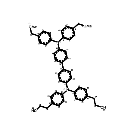 COCc1ccc(N(c2ccc(COC)cc2)c2ccc(-c3ccc(N(c4ccc(CCO)cc4)c4ccc(CCO)cc4)cc3)cc2)cc1